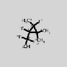 CC1(C)C(C)(F)C1(F)C(O)(F)F